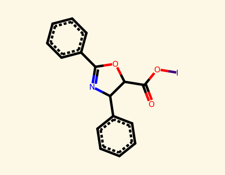 O=C(OI)C1OC(c2ccccc2)=NC1c1ccccc1